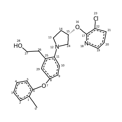 Cc1ccccc1Oc1ccc(N2CC[C@H](Oc3ncccc3Cl)C2)c(CCO)c1